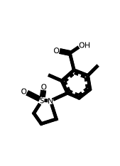 Cc1ccc(N2CCCS2(=O)=O)c(C)c1C(=O)O